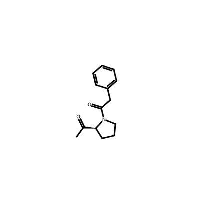 CC(=O)[C@@H]1CCCN1C(=O)Cc1ccccc1